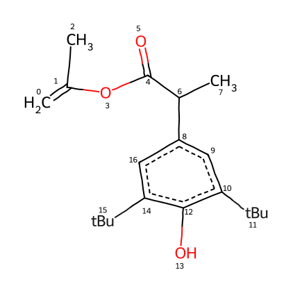 C=C(C)OC(=O)C(C)c1cc(C(C)(C)C)c(O)c(C(C)(C)C)c1